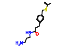 C=C(C)SCc1ccc(CCC(=O)NCCCN)cc1